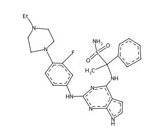 CCN1CCN(c2ccc(Nc3nc(NC(C)(c4ccccc4)S(N)(=O)=O)c4cc[nH]c4n3)cc2F)CC1